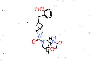 O=C1CO[C@H]2CCN(C(=O)N3CC4(CC(Cc5ccccc5O)C4)C3)C[C@H]2N1